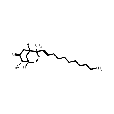 CCCCCCCCCC=C[C@@]1(C)OO[C@H]2C[C@@H]1CC(=O)[C@H]2C